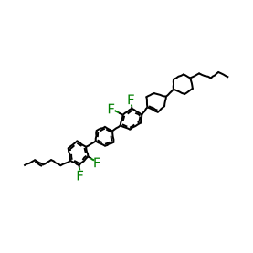 C/C=C/CCc1ccc(-c2ccc(-c3ccc(C4=CCC(C5CCC(CCCC)CC5)CC4)c(F)c3F)cc2)c(F)c1F